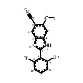 COc1cc2[nH]c(-c3c(F)cccc3Cl)nc2cc1C#N